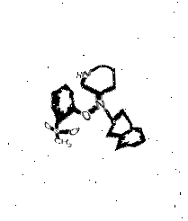 CS(=O)(=O)c1ccccc1ON(C1CCCNC1)C1Cc2ccccc2C1